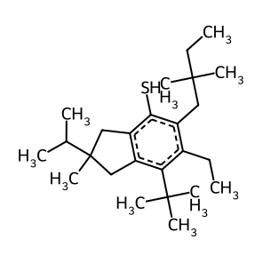 CCc1c(CC(C)(C)CC)c(S)c2c(c1C(C)(C)C)CC(C)(C(C)C)C2